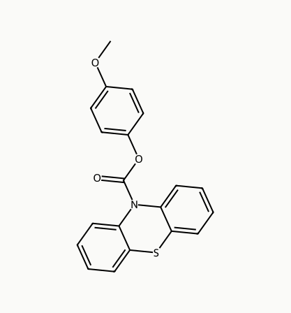 COc1ccc(OC(=O)N2c3ccccc3Sc3ccccc32)cc1